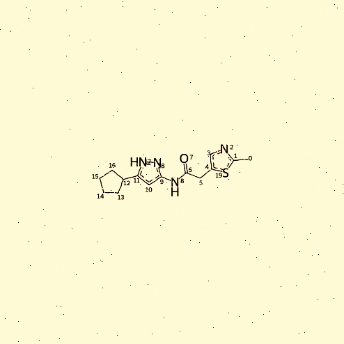 Cc1ncc(CC(=O)Nc2cc(C3CCCC3)[nH]n2)s1